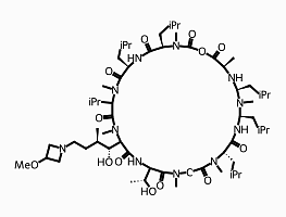 COC1CN(CC[C@@H](C)[C@@H](O)C2C(=O)NC([C@@H](C)O)C(=O)N(C)CC(=O)N(C)[C@@H](CC(C)C)C(=O)N[C@H](CC(C)C)N(C)[C@H](CC(C)C)N[C@H](C)C(=O)OC(=O)N(C)[C@H](CC(C)C)C(=O)N[C@H](CC(C)C)C(=O)N(C)C(C(C)C)C(=O)N2C)C1